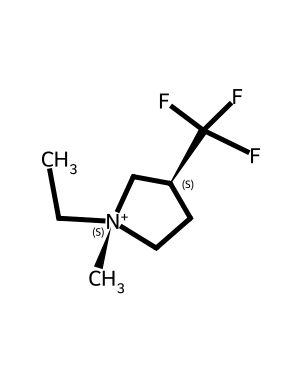 CC[N@@+]1(C)CC[C@H](C(F)(F)F)C1